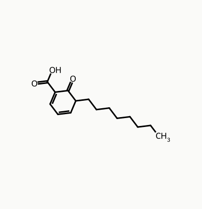 CCCCCCCCC1C=CC=C(C(=O)O)C1=O